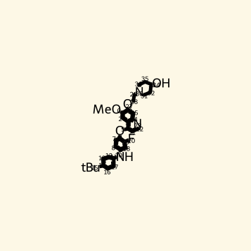 COc1cc2c(Oc3ccc(Nc4ccc(C(C)(C)C)cc4)cc3F)ccnc2cc1OCCN1CCC(O)CC1